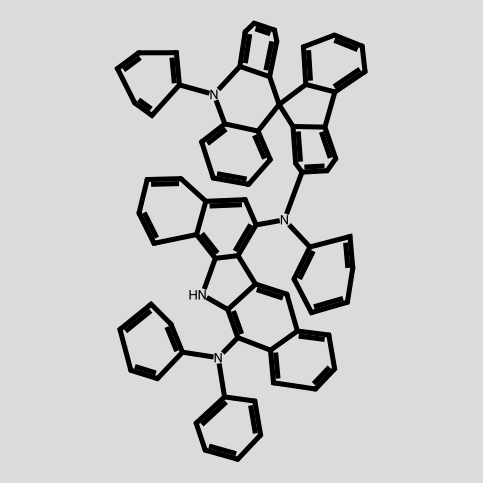 c1ccc(N2c3ccccc3C3(c4ccccc4-c4ccc(N(c5ccccc5)c5cc6ccccc6c6[nH]c7c(N(c8ccccc8)c8ccccc8)c8ccccc8cc7c56)cc43)c3ccccc32)cc1